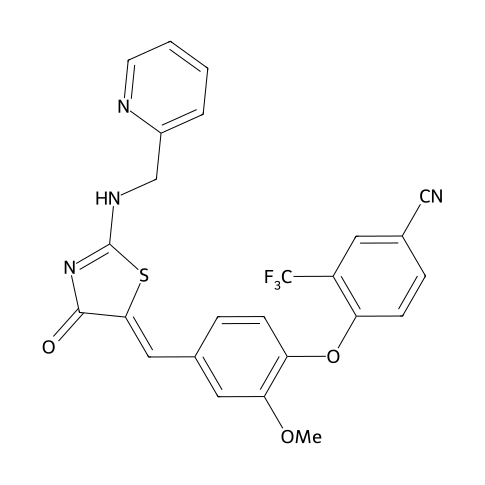 COc1cc(/C=C2\SC(NCc3ccccn3)=NC2=O)ccc1Oc1ccc(C#N)cc1C(F)(F)F